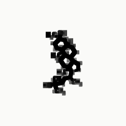 C[C@H](CCC(C)(C)O)[C@H]1CCC2C3CC[C@H]4C[C@](C)(O)CC[C@]4(C)C3CC[C@@]21C